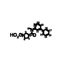 CN(C(=O)[C@H]1CCN(C(=O)O)C1)c1cc(-c2ccccc2)ccn1